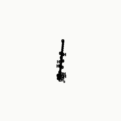 CC(=O)N[C@H]1[C@H]2OC[C@](COCCCCC(=O)NCCCNC(=O)CCOCCNC(=O)CCCCCCCCCCC=O)(O2)[C@H](O)[C@@H]1O